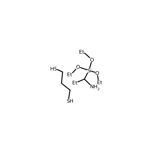 CCO[Si](OCC)(OCC)C(N)CC.SCCCS